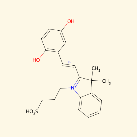 CC1(C)C(/C=C/c2cc(O)ccc2O)=[N+](CCCS(=O)(=O)O)c2ccccc21